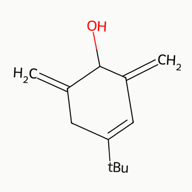 C=C1C=C(C(C)(C)C)CC(=C)C1O